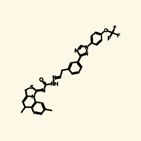 Cc1ccc2c(c1)N1C(=CC2C)CS/C1=N\C(=O)N/N=C/Cc1cccc(-c2ncn(-c3ccc(OC(F)(F)F)cc3)n2)c1